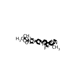 Cc1cc(-c2ccc(N3CCC(N4CCN(C(=O)OC(C)(C)C)CC4)CC3)nc2C(F)F)cn2ccnc12